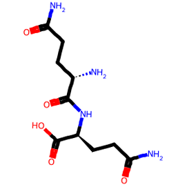 NC(=O)CC[C@H](NC(=O)[C@@H](N)CCC(N)=O)C(=O)O